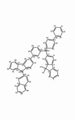 CC1(C)c2ccccc2-c2ccc(N(c3ccc(-c4ccccc4)cc3)c3cccc(-c4ccc5c(c4)c4ccccc4n5-c4ccc5ccccc5c4)c3)cc21